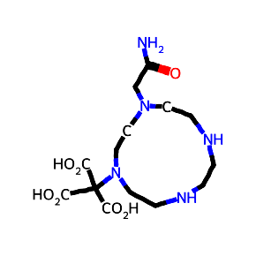 NC(=O)CN1CCNCCNCCN(C(C(=O)O)(C(=O)O)C(=O)O)CC1